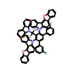 CC(C)(c1c(-n2c3ccccc3c3c4oc5ccccc5c4ccc32)c(-c2cccc(F)c2)cc(-c2cccc(F)c2)c1-n1c2ccccc2c2c3oc4ccccc4c3ccc21)n1c2ccccc2c2ccccc21